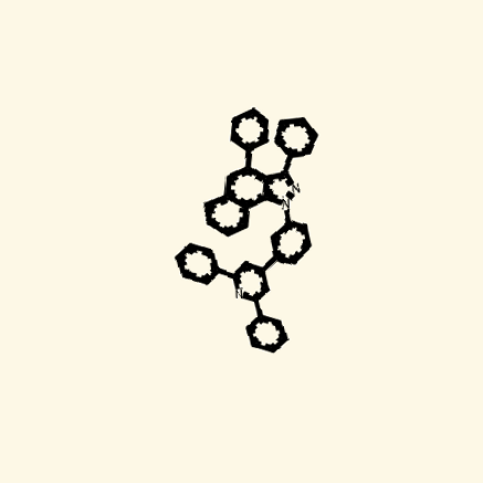 c1ccc(-c2cc(-c3cccc(-n4nc(-c5ccccc5)c5c(-c6ccccc6)cc6ccccc6c54)c3)cc(-c3ccccc3)n2)cc1